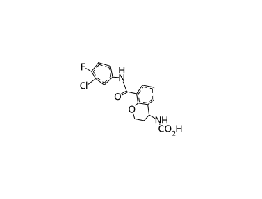 O=C(O)NC1CCOc2c(C(=O)Nc3ccc(F)c(Cl)c3)cccc21